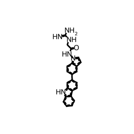 N=C(N)NCC(=O)Nn1ccc2cc(-c3ccc4c(c3)[nH]c3ccccc34)ccc21